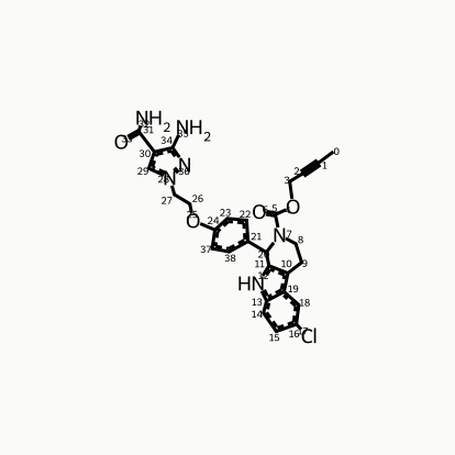 CC#CCOC(=O)N1CCc2c([nH]c3ccc(Cl)cc23)C1c1ccc(OCCn2cc(C(N)=O)c(N)n2)cc1